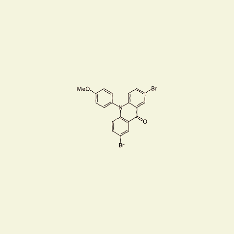 COc1ccc(-n2c3ccc(Br)cc3c(=O)c3cc(Br)ccc32)cc1